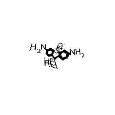 Cl.Cl.Nc1ccc2c(c1)[S+]([O-])c1cc(N)ccc1C2